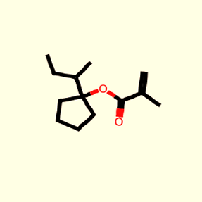 C=C(C)C(=O)OC1(C(C)CC)CCCC1